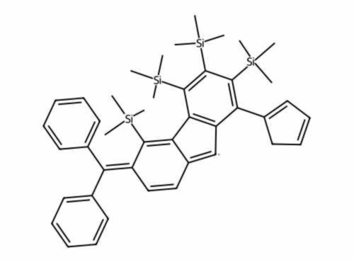 C[Si](C)(C)c1c(C2=CC=CC2)c2c(c([Si](C)(C)C)c1[Si](C)(C)C)-c1c([Si](C)(C)C)c(=C(c3ccccc3)c3ccccc3)ccc1=[C]2